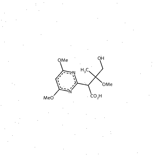 COc1cc(OC)nc(C(C(=O)O)C(C)(CO)OC)n1